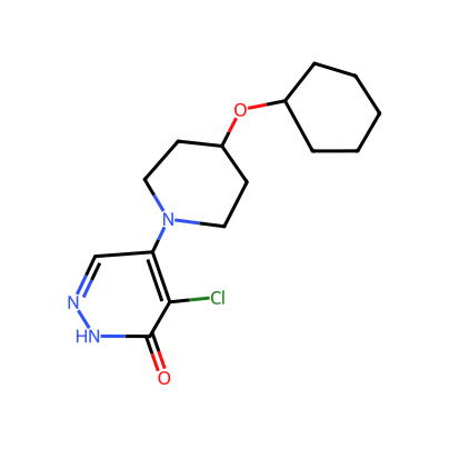 O=c1[nH]ncc(N2CCC(OC3CCCCC3)CC2)c1Cl